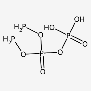 O=P(O)(O)OP(=O)(OP)OP